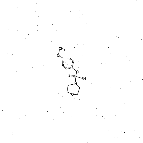 COc1ccc(OP(=S)(S)N2CCOCC2)cc1